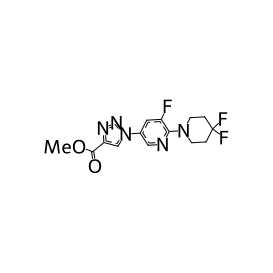 COC(=O)c1cn(-c2cnc(N3CCC(F)(F)CC3)c(F)c2)nn1